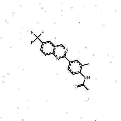 CC(=O)Nc1ccc(-c2ncc3cc(C(F)(F)F)ccc3n2)cc1C